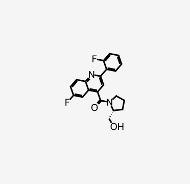 O=C(c1cc(-c2ccccc2F)nc2ccc(F)cc12)N1CCC[C@@H]1CO